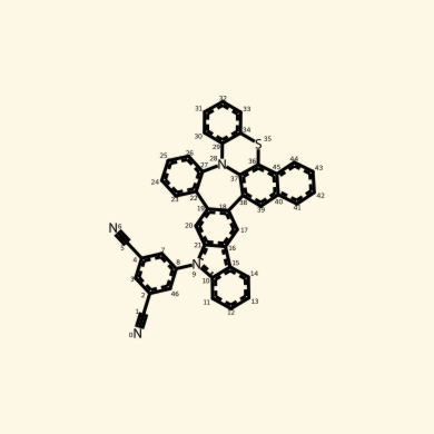 N#Cc1cc(C#N)cc(-n2c3ccccc3c3cc4c(cc32)-c2ccccc2N2c3ccccc3Sc3c2c-4cc2ccccc32)c1